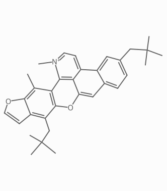 Cc1c2c(c(CC(C)(C)C)c3ccoc13)Oc1cc3ccc(CC(C)(C)C)cc3c3cc[n+](C)c-2c13